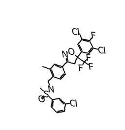 Cc1cc(C2=NOC(c3cc(Cl)c(F)c(Cl)c3)(C(F)(F)F)C2)ccc1CN=S(C)(=O)c1cccc(Cl)c1